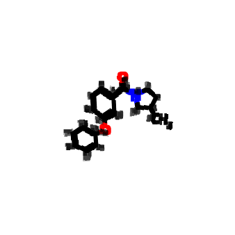 CC1CCN(C(=O)c2cccc(Oc3ccccc3)c2)C1